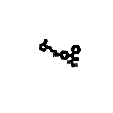 O=C(NO)C(c1ccccc1)c1ccc(NCCCN2CCCC2=O)cc1